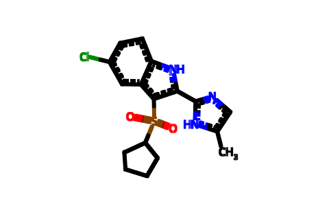 Cc1cnc(-c2[nH]c3ccc(Cl)cc3c2S(=O)(=O)C2CCCC2)[nH]1